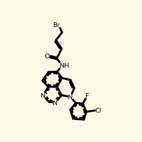 O=C(/C=C/CBr)Nc1ccc2ncnc3c2c1C=CN3c1cccc(Cl)c1F